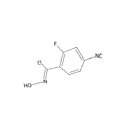 [C-]#[N+]c1ccc(/C(Cl)=N/O)c(F)c1